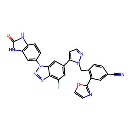 N#Cc1ccc(Cn2nccc2-c2cc(F)c3nnn(-c4ccc5[nH]c(=O)[nH]c5c4)c3c2)c(-c2ncco2)c1